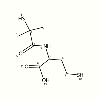 CC(C)(S)C(=O)NC(CCS)C(=O)O